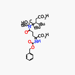 CC(C)(C)C(CC(=O)O)[C@](C(=O)O)(N(C(=O)CC[C@H](NC(=O)OCc1ccccc1)C(=O)O)C(C)(C)C)C(C)(C)C